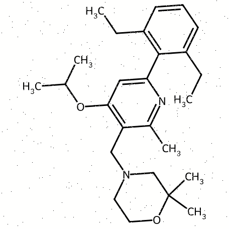 CCc1cccc(CC)c1-c1cc(OC(C)C)c(CN2CCOC(C)(C)C2)c(C)n1